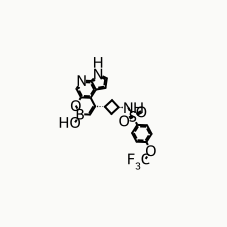 O=S(=O)(N[C@H]1C[C@@H](C2=CB(O)Oc3cnc4[nH]ccc4c32)C1)c1ccc(OC(F)(F)F)cc1